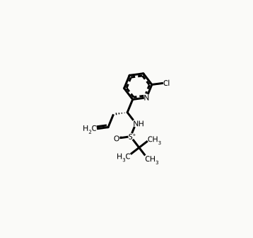 C=CC[C@@H](N[S+]([O-])C(C)(C)C)c1cccc(Cl)n1